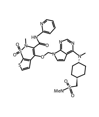 CNS(=O)(=O)C[C@H]1CC[C@H](N(C)c2ncnc3c2ccn3COC2=C(C(=O)Nc3ccccn3)N(C)S(=O)(=O)c3sccc32)CC1